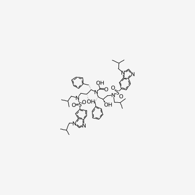 CC(C)CN(C[C@@H](O)[C@H](Cc1ccccc1)N(C(=O)O)[C@@H](Cc1ccccc1)[C@H](O)CN(CC(C)C)S(=O)(=O)c1ccc2ncn(CC(C)C)c2c1)S(=O)(=O)c1ccc2ncn(CC(C)C)c2c1